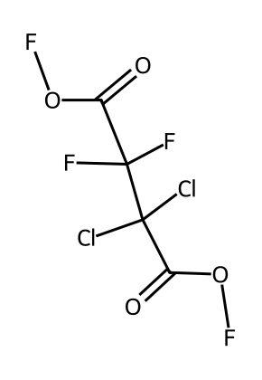 O=C(OF)C(F)(F)C(Cl)(Cl)C(=O)OF